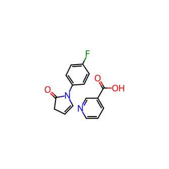 O=C(O)c1cccnc1.O=C1CC=CN1c1ccc(F)cc1